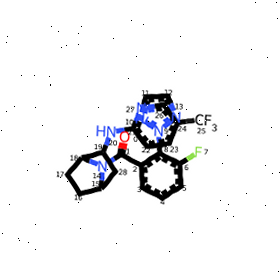 O=C(c1cccc(F)c1-n1nccn1)N1C2CCC1C(Nc1ccc(C(F)(F)F)cn1)C2